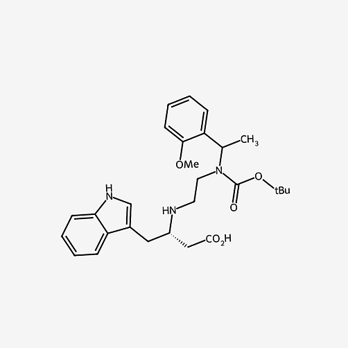 COc1ccccc1C(C)N(CCN[C@H](CC(=O)O)Cc1c[nH]c2ccccc12)C(=O)OC(C)(C)C